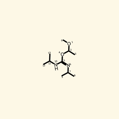 COC(C)OC(=NC(C)C)NC(C)C